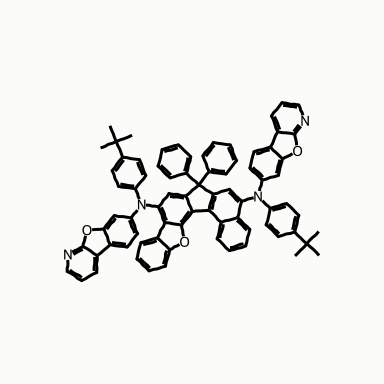 CC(C)(C)c1ccc(N(c2ccc3c(c2)oc2ncccc23)c2cc3c(c4ccccc24)-c2c(cc(N(c4ccc(C(C)(C)C)cc4)c4ccc5c(c4)oc4ncccc45)c4c2oc2ccccc24)C3(c2ccccc2)c2ccccc2)cc1